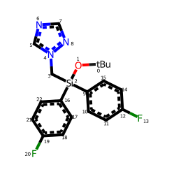 CC(C)(C)O[Si](Cn1cncn1)(c1ccc(F)cc1)c1ccc(F)cc1